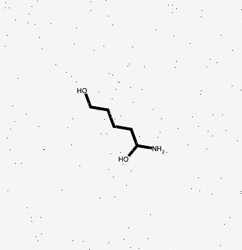 NC(O)CCCCO